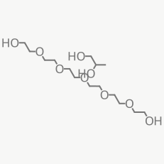 CC(O)CO.OCCOCCOCCOCCOCCOCCO